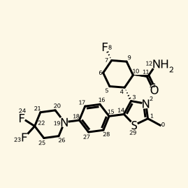 Cc1nc([C@@H]2CC[C@H](F)C[C@H]2C(N)=O)c(-c2ccc(N3CCC(F)(F)CC3)cc2)s1